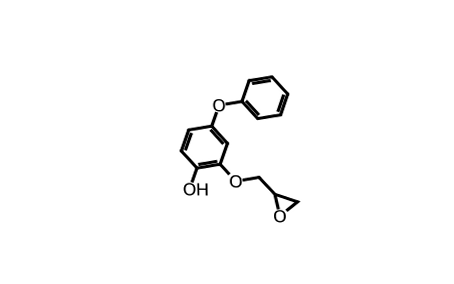 Oc1ccc(Oc2ccccc2)cc1OCC1CO1